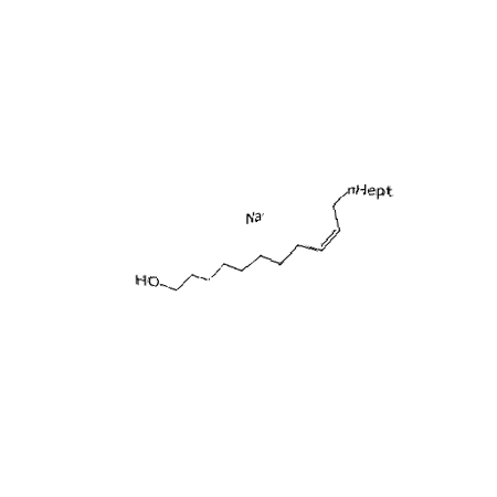 CCCCCCCC/C=C\CCCCCCCCO.[Na]